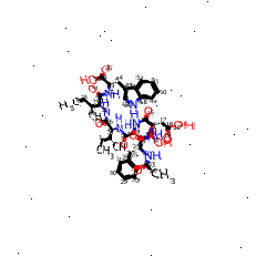 CC[C@H](C)[C@H](NC(=O)[C@H](CC(=O)O)NC(=O)[C@H](CC(=O)O)NC(=O)[C@@H](Cc1ccccc1)NC(C)=O)C(=O)N[C@H](C(=O)N[C@@H](Cc1c[nH]c2ccccc12)C(=O)O)[C@@H](C)CC